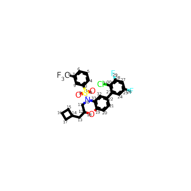 O=S(=O)(c1cccc(C(F)(F)F)c1)N1CC(CC2CCC2)Oc2ccc(-c3cc(F)cc(F)c3Cl)cc21